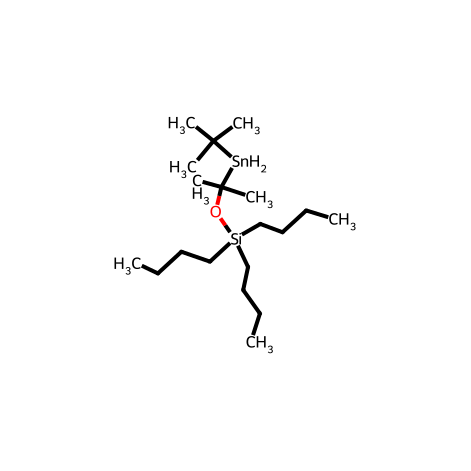 CCCC[Si](CCCC)(CCCC)O[C](C)(C)[SnH2][C](C)(C)C